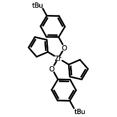 CC(C)(C)c1ccc([O][Zr]([O]c2ccc(C(C)(C)C)cc2)([C]2=CC=CC2)[C]2=CC=CC2)cc1